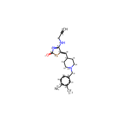 C#CCNC1=NC(=O)S/C1=C\C1CCN(Cc2ccc(C#N)c(C(F)(F)F)c2)CC1